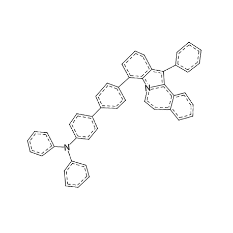 c1ccc(-c2c3cccc(-c4ccc(-c5ccc(N(c6ccccc6)c6ccccc6)cc5)cc4)c3n3ccc4ccccc4c23)cc1